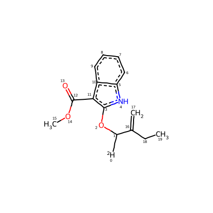 [2H]C(Oc1[nH]c2ccccc2c1C(=O)OC)C(=C)CC